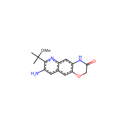 COC(C)(C)c1nc2cc3c(cc2cc1N)OCC(=O)N3